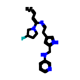 C=C/C=C(\N=C/Cc1c[nH]c(CNc2cccnc2)c1)N1CC[C@@H](F)C1